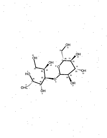 O=C[C@H](O)[C@@H](O)[C@H](OC1O[C@H](CO)[C@@H](O)[C@H](O)[C@H]1O)[C@H](O)CO